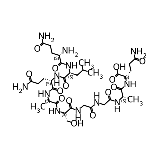 CC(C)C[C@H](NC(=O)[C@@H](N)CCC(N)=O)C(=O)N[C@@H](CCC(N)=O)C(=O)N[C@@H](C)C(=O)N[C@@H](CO)C(=O)NCC(=O)NCC(=O)N[C@@H](C)C(=O)N[C@@H](CCC(N)=O)C(=O)O